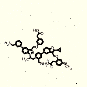 COc1ccc(CC(=O)O)c(OCc2c(C3CC3)oc3ccc(-c4ccc(CC(C)n5nc(COc6cccc(CC(=O)O)c6)c6cc(-c7cccc(CN)c7)ccc65)c(CN)c4)cc23)c1